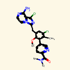 CCOc1c(Cc2nc(Cl)c3c(N)nccn23)cc(Cl)c(C)c1-c1ccc(C(=O)N(CC)CC)nc1